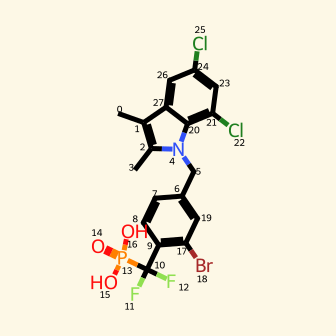 Cc1c(C)n(Cc2ccc(C(F)(F)P(=O)(O)O)c(Br)c2)c2c(Cl)cc(Cl)cc12